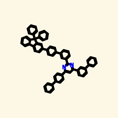 c1ccc(-c2ccc(-c3cc(-c4cccc(-c5ccccc5)c4)nc(-c4cccc(-c5ccc(-c6ccc7c(c6)C(c6ccccc6)(c6ccccc6)c6ccccc6-7)cc5)c4)n3)cc2)cc1